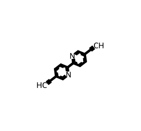 C#Cc1ccc(-c2ccc(C#C)cn2)nc1